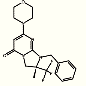 C[C@@]1(C(F)(F)F)Cn2c(nc(N3CCOCC3)cc2=O)N1Cc1ccccc1